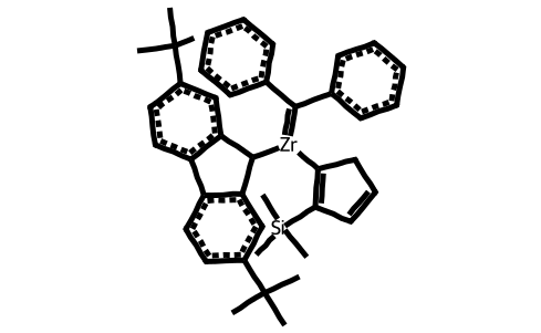 CC(C)(C)c1ccc2c(c1)[CH]([Zr]([C]1=C([Si](C)(C)C)C=CC1)=[C](c1ccccc1)c1ccccc1)c1cc(C(C)(C)C)ccc1-2